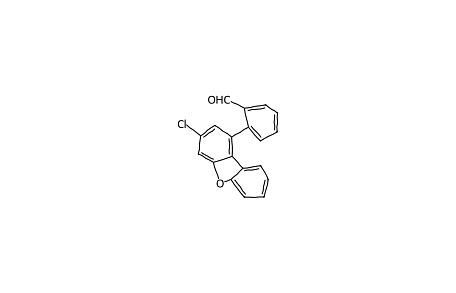 O=Cc1ccccc1-c1cc(Cl)cc2oc3ccccc3c12